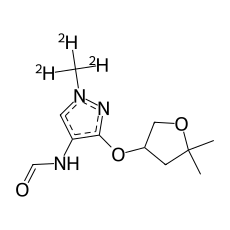 [2H]C([2H])([2H])n1cc(NC=O)c(OC2COC(C)(C)C2)n1